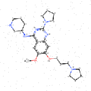 COc1cc2c(N[C@@H]3CCCNC3)nc(N3CCCC3)nc2cc1OCCCN1CCCC1